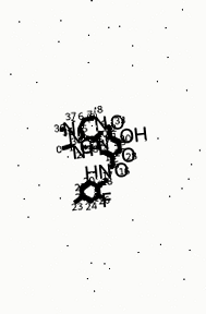 CC1=NOC2(CC[C@H](C)N3C[C@H]2n2cc(C(=O)NCc4ccc(C)cc4F)c(=O)c(O)c2C3=O)N1N(C)C